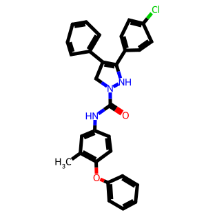 Cc1cc(NC(=O)N2CC(c3ccccc3)=C(c3ccc(Cl)cc3)N2)ccc1Oc1ccccc1